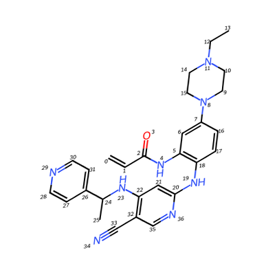 C=CC(=O)Nc1cc(N2CCN(CC)CC2)ccc1Nc1cc(NC(C)c2ccncc2)c(C#N)cn1